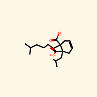 CC(C)CCCCC1(C(=O)O)CC=CCC1(CC(C)C)C(=O)O